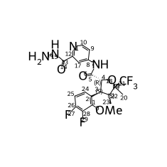 COc1c([C@H]2[C@H](C(=O)Nc3ccnc(C(=O)NN)c3)O[C@@](C)(C(F)(F)F)[C@H]2C)ccc(F)c1F